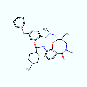 CC(C)N1C[C@H](C)[C@@H](CN(C)Cc2ccc(Oc3ccccc3)cc2)Oc2c(NC(=O)C3CCN(C)CC3)cccc2C1=O